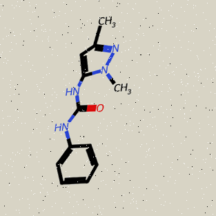 Cc1cc(NC(=O)Nc2ccccc2)n(C)n1